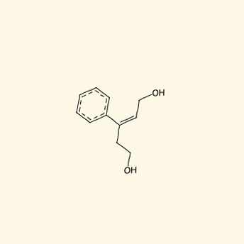 OC/C=C(/CCO)c1ccccc1